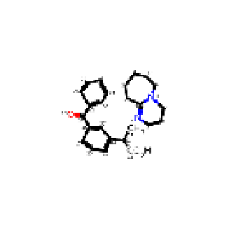 C1CCC2=NCCCN2CC1.CC(C(=O)O)c1cccc(C(=O)c2ccccc2)c1